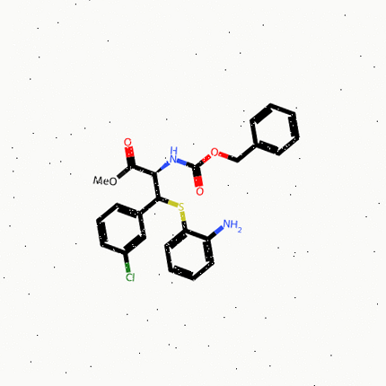 COC(=O)[C@@H](NC(=O)OCc1ccccc1)C(Sc1ccccc1N)c1cccc(Cl)c1